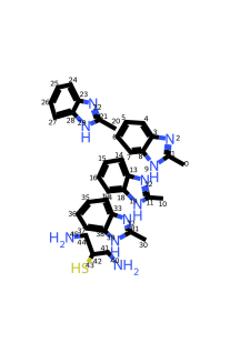 Cc1nc2ccccc2[nH]1.Cc1nc2ccccc2[nH]1.Cc1nc2ccccc2[nH]1.Cc1nc2ccccc2[nH]1.NCC(S)CN